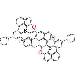 CC(C)c1c2c(c3ccc4c(C(C)C)c5c(c6ccc1c3c64)Oc1ccccc1B5c1c(-c3ccccc3)cc(-c3ccccc3)cc1-c1ccccc1)Oc1ccccc1B2c1c(-c2ccccc2)cc(-c2ccccc2)cc1-c1ccccc1